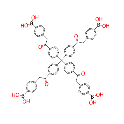 O=C(Cc1ccc(B(O)O)cc1)c1ccc(C(c2ccc(C(=O)Cc3ccc(B(O)O)cc3)cc2)(c2ccc(C(=O)Cc3ccc(B(O)O)cc3)cc2)c2ccc(C(=O)Cc3ccc(B(O)O)cc3)cc2)cc1